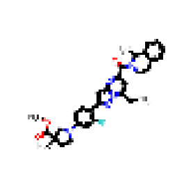 CCc1cc(C(=O)N2CCc3ccccc3C2C)nc2cc(-c3ccc(N4CCC(C)(C(=O)OC)C4)cc3F)nn12